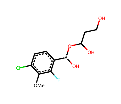 COc1c(Cl)ccc(B(O)OC(O)CCO)c1F